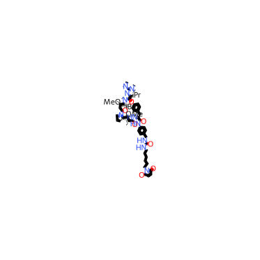 CC[C@H](C)[C@@H]([C@H](CC(=O)N1CCC[C@H]1[C@H](OC)[C@@H](C)C(=O)N[C@@H](Cc1ccccc1)C(=O)Nc1ccc(CNC(=O)NCCCCCCN2C(=O)C=CC2=O)cc1)OC)N(C)C(=O)[C@@H](N=C(N(C)C)N(C)C)C(C)C